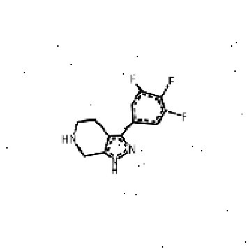 Fc1cc(-c2n[nH]c3c2CCNC3)cc(F)c1F